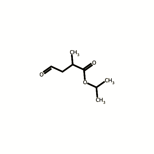 CC(C)OC(=O)C(C)CC=O